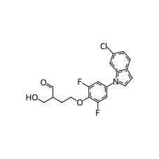 O=CC(CO)CCOc1c(F)cc(-n2ccc3ccc(Cl)cc32)cc1F